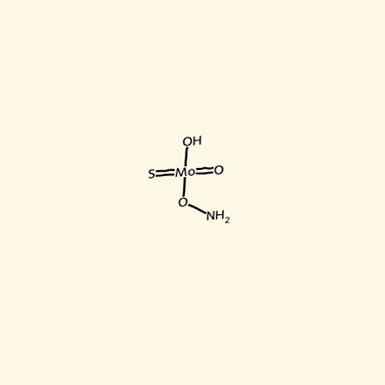 N[O][Mo](=[O])([OH])=[S]